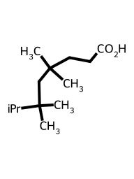 CC(C)C(C)(C)CC(C)(C)CCC(=O)O